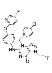 O=c1nc(Nc2ccc(Oc3ccc(F)cn3)cc2)n(Cc2ccc(Cl)cc2)c2ncn(CCF)c12